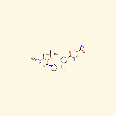 C[C@H](NC(=O)[C@@H]1CCN(C(=O)[C@@H]2CCN(C(=O)[C@H](O[Si](C)(C)C(C)(C)C)[C@H](C)NC(=O)O)C2)C1)[C@@H](O)C(N)=O